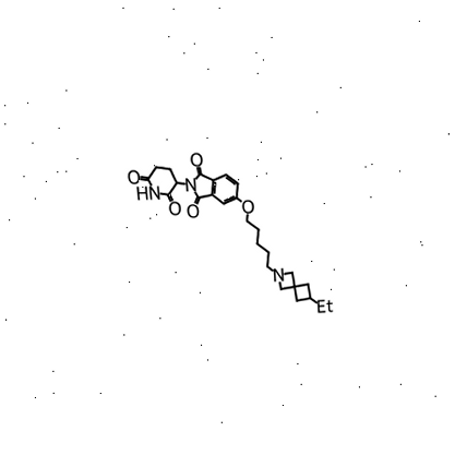 CCC1CC2(C1)CN(CCCCCOc1ccc3c(c1)C(=O)N(C1CCC(=O)NC1=O)C3=O)C2